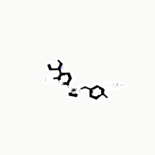 C=C/C(=C\C)c1ccc(-n2ccn2Cc2ccc(C)c(OC)c2)nc1CC